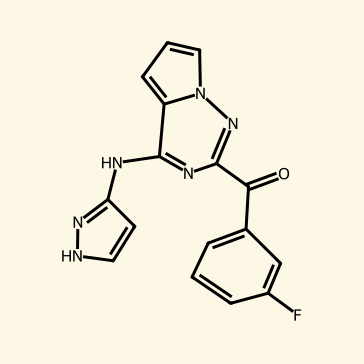 O=C(c1cccc(F)c1)c1nc(Nc2cc[nH]n2)c2cccn2n1